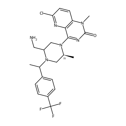 CC(c1ccc(C(F)(F)F)cc1)N1C[C@H](C)N(c2nc(=O)n(C)c3ccc(Cl)nc23)CC1CN